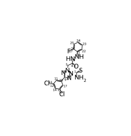 NC=S.O=C(Cn1nnc(-c2cc(Cl)cc(Cl)c2)n1)NNc1ccccc1F